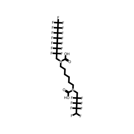 O=C(O)N(CCCCCCN(CC(F)(F)C(F)(F)C(F)(F)C(F)(F)C(F)(F)C(F)(F)C(F)(F)F)C(=O)O)CC(F)(F)C(F)(F)C(F)(F)C(F)F